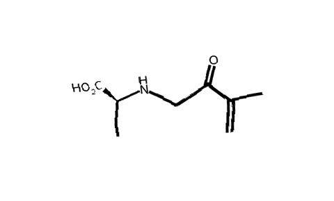 C=C(C)C(=O)CN[C@@H](C)C(=O)O